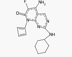 Nc1c(F)c(=O)n(C2=CC=C2)c2nc(NC3CCCCC3)ncc12